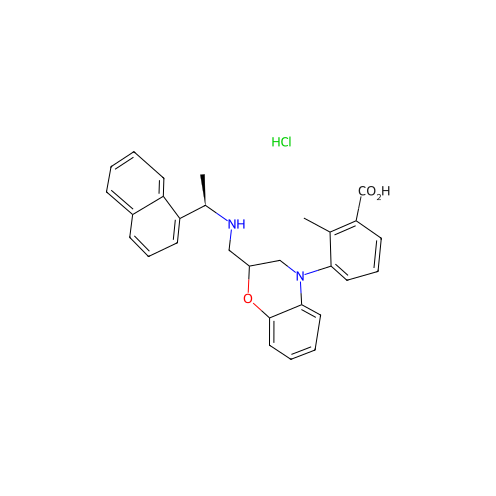 Cc1c(C(=O)O)cccc1N1CC(CN[C@H](C)c2cccc3ccccc23)Oc2ccccc21.Cl